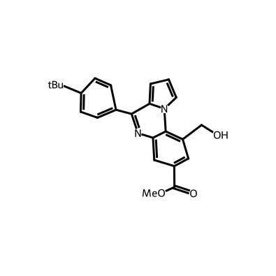 COC(=O)c1cc(CO)c2c(c1)nc(-c1ccc(C(C)(C)C)cc1)c1cccn12